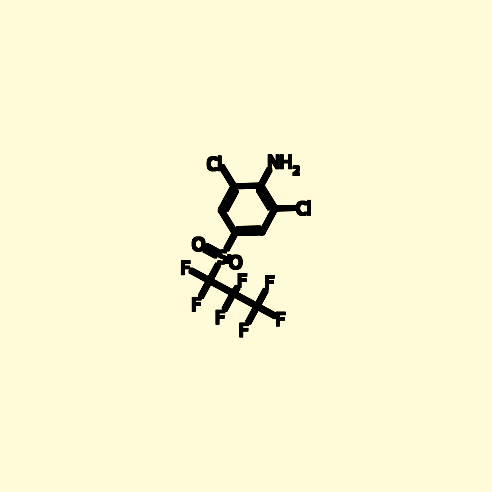 Nc1c(Cl)cc(S(=O)(=O)C(F)(F)C(F)(F)C(F)(F)F)cc1Cl